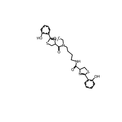 O=C(O)CN(CCCCNC(=O)C1CSC(c2ccccc2O)=N1)C(=O)C1CSC(c2ccccc2O)=N1